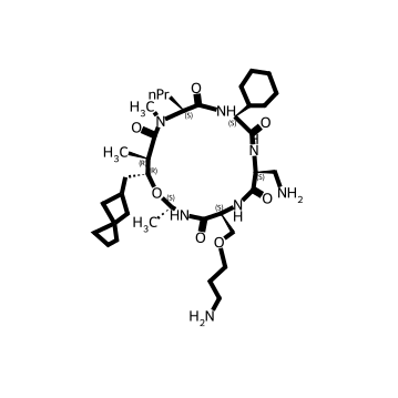 CCC[C@H]1C(=O)N[C@@H](C2CCCCC2)C(=O)N[C@@H](CN)C(=O)N[C@@H](COCCCN)C(=O)N[C@H](C)O[C@H](CC2CC3(CCC3)C2)[C@@H](C)C(=O)N1C